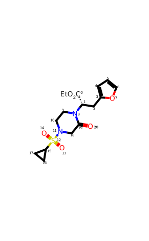 CCOC(=O)[C@H](Cc1ccco1)N1CCN(S(=O)(=O)C2CC2)CC1=O